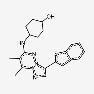 Cc1c(NC2CCC(O)CC2)nn2c(-c3cc4ccccc4s3)cnc2c1C